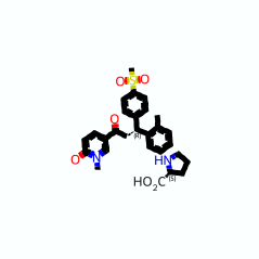 Cc1ccccc1[C@H](CC(=O)c1ccc(=O)n(C)c1)c1ccc(S(C)(=O)=O)cc1.O=C(O)[C@@H]1CCCN1